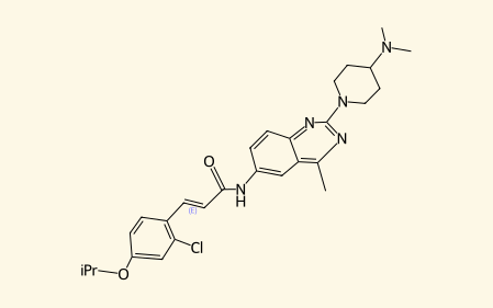 Cc1nc(N2CCC(N(C)C)CC2)nc2ccc(NC(=O)/C=C/c3ccc(OC(C)C)cc3Cl)cc12